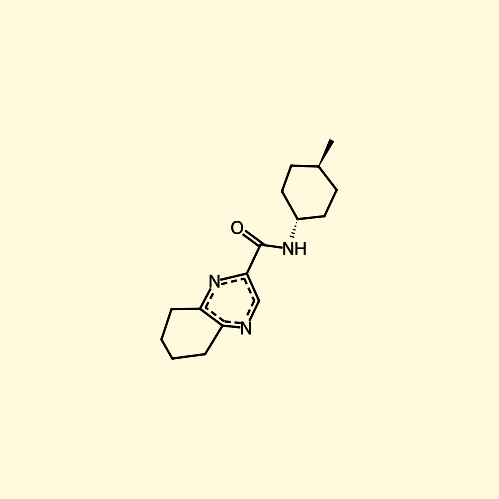 C[C@H]1CC[C@H](NC(=O)c2cnc3c(n2)CCCC3)CC1